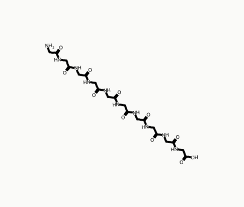 NCC(=O)NCC(=O)NCC(=O)NCC(=O)NCC(=O)NCC(=O)NCC(=O)NCC(=O)NCC(=O)NCC(=O)O